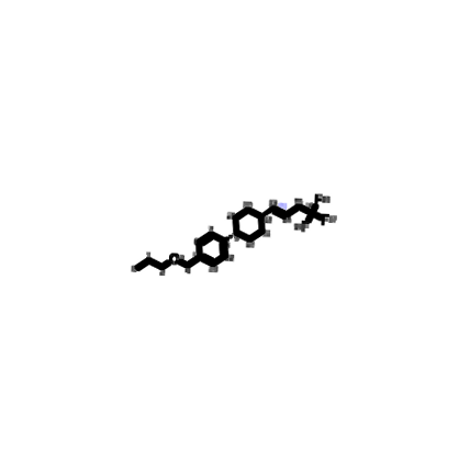 CCCOCc1ccc([C@H]2CC[C@H](/C=C/CC(F)(F)F)CC2)cc1